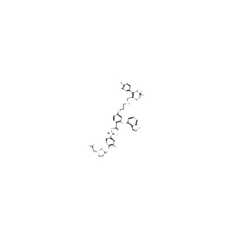 CC1(C)CCC(CNCCNc2ccc(C(=O)NS(=O)(=O)c3cnc(O[C@@H]4CCN(CC(F)F)C4)c(Cl)c3)c(Oc3cccc4[nH]ncc34)c2)=C(c2ccc(Cl)cc2)C1